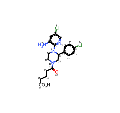 Nc1cc(Cl)cnc1N1CCN(C(=O)CCCC(=O)O)CC1c1ccc(Cl)cc1